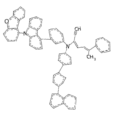 C#C/C(=C\C=C(/C)c1ccccc1)N(c1ccc(-c2ccc(-c3cccc4ccccc34)cc2)cc1)c1cccc(-c2cccc3c2c2ccccc2n3-c2cccc3oc4ccccc4c23)c1